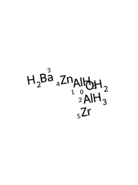 O.[AlH3].[AlH3].[BaH2].[Zn].[Zr]